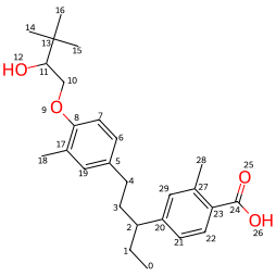 CCC(CCc1ccc(OCC(O)C(C)(C)C)c(C)c1)c1ccc(C(=O)O)c(C)c1